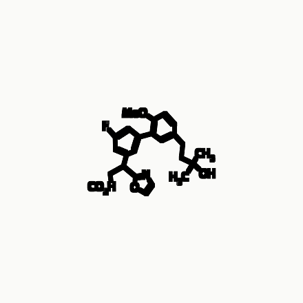 COc1ccc(CCC(C)(C)O)cc1-c1cc(F)cc(C(CC(=O)O)c2ncco2)c1